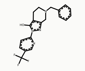 Oc1c2c(nn1-c1ccc(C(F)(F)F)cn1)CN(Cc1ccccc1)CC2